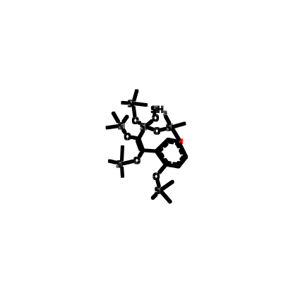 C[Si](C)(C)OC(=C(O[Si](C)(C)C)[Si](O[SiH3])(O[Si](C)(C)C)O[Si](C)(C)C)c1ccccc1O[Si](C)(C)C